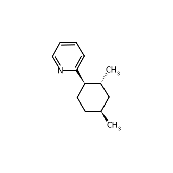 C[C@H]1CC[C@@H](c2ccccn2)[C@H](C)C1